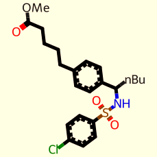 CCCCC(NS(=O)(=O)c1ccc(Cl)cc1)c1ccc(CCCCC(=O)OC)cc1